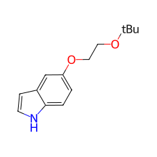 CC(C)(C)OCCOc1ccc2[nH]ccc2c1